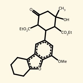 CCOC(=O)C1C(=O)CC(C)(O)C(C(=O)OCC)C1c1cc(OC)c2oc3c(c2c1)CCCC3